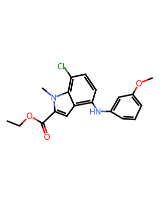 CCOC(=O)c1cc2c(Nc3cccc(OC)c3)ccc(Cl)c2n1C